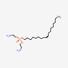 CCCCCCCC/C=C\CCCCCCCCOP(=O)(OCCN)OCCN